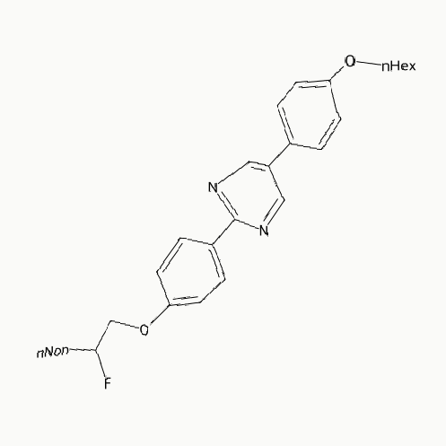 CCCCCCCCCC(F)COc1ccc(-c2ncc(-c3ccc(OCCCCCC)cc3)cn2)cc1